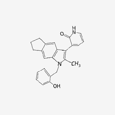 Cc1c(-c2ccc[nH]c2=O)c2cc3c(cc2n1Cc1ccccc1O)CCC3